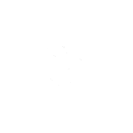 CC1(C)NOC2(CCCN3CC2n2cc(C(N)=O)c(=O)cc2C3=O)N1